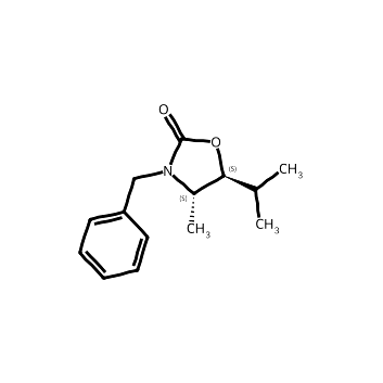 CC(C)[C@@H]1OC(=O)N(Cc2ccccc2)[C@H]1C